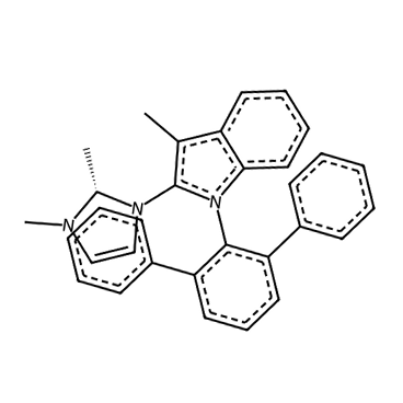 Cc1c(N2C=CN(C)[C@@H]2C)n(-c2c(-c3ccccc3)cccc2-c2ccccc2)c2ccccc12